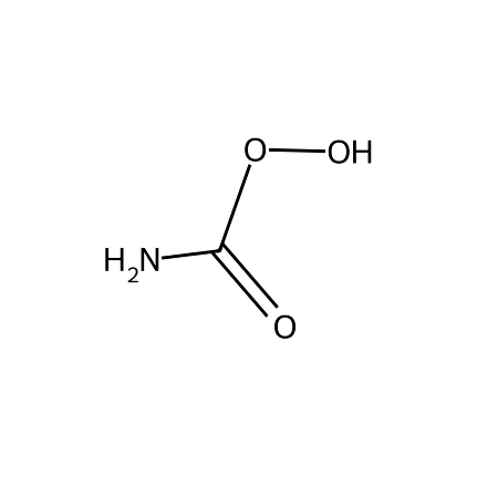 NC(=O)OO